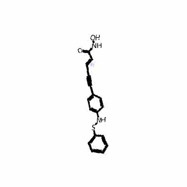 O=C(/C=C/C#Cc1ccc(NSc2ccccc2)cc1)NO